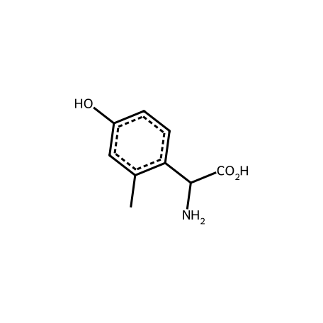 Cc1cc(O)ccc1C(N)C(=O)O